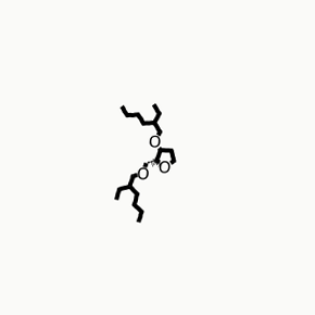 CCCCC(CC)COC[C@H]1OCCC1OCC(CC)CCCC